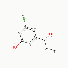 [CH2]CC(O)c1cc(O)cc(Br)c1